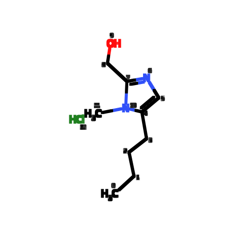 CCCCc1cnc(CO)n1C.Cl